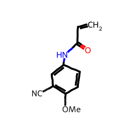 C=CC(=O)Nc1ccc(OC)c(C#N)c1